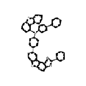 c1ccc(-c2ccc(N(c3ccc(-c4ccc5oc6ccc7nc(-c8ccccc8)oc7c6c5c4)cc3)c3cccc4oc5ccccc5c34)cc2)cc1